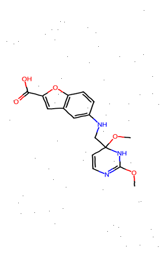 COC1=NC=CC(CNc2ccc3oc(C(=O)O)cc3c2)(OC)N1